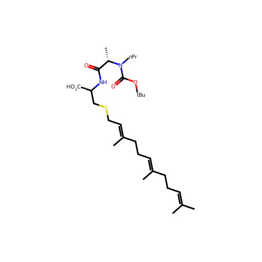 CCCN(C(=O)OC(C)(C)C)[C@@H](C)C(=O)NC(CSC/C=C(\C)CC/C=C(\C)CCC=C(C)C)C(=O)O